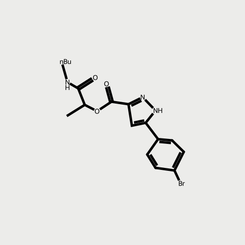 CCCCNC(=O)C(C)OC(=O)c1cc(-c2ccc(Br)cc2)[nH]n1